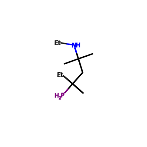 CCNC(C)(C)CC(C)(P)CC